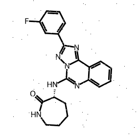 O=C1NCCCC[C@H]1Nc1nc2ccccc2c2nc(-c3cccc(F)c3)nn12